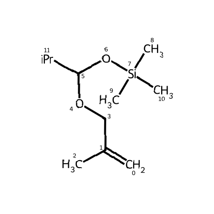 C=C(C)COC(O[Si](C)(C)C)C(C)C